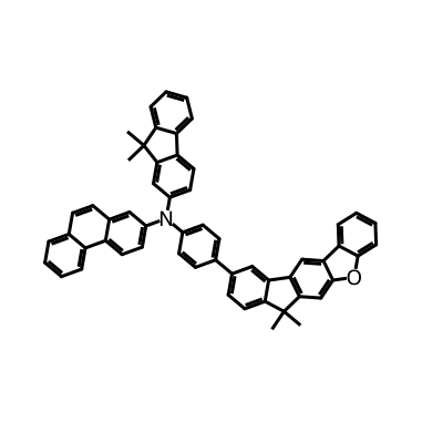 CC1(C)c2ccccc2-c2ccc(N(c3ccc(-c4ccc5c(c4)-c4cc6c(cc4C5(C)C)oc4ccccc46)cc3)c3ccc4c(ccc5ccccc54)c3)cc21